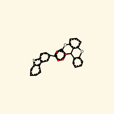 c1ccc2c(c1)Oc1cccc3c1C2(c1ccc(-c2ccc4sc5ccccc5c4c2)cc1)c1ccccc1O3